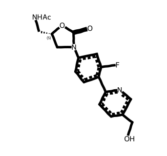 CC(=O)NC[C@H]1CN(c2ccc(-c3ccc(CO)cn3)c(F)c2)C(=O)O1